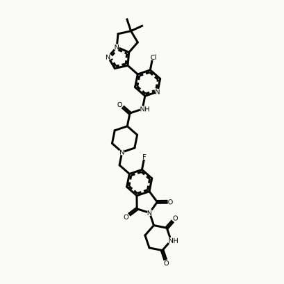 CC1(C)Cc2c(-c3cc(NC(=O)C4CCN(Cc5cc6c(cc5F)C(=O)N(C5CCC(=O)NC5=O)C6=O)CC4)ncc3Cl)cnn2C1